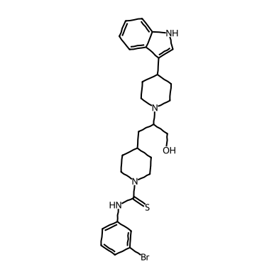 OCC(CC1CCN(C(=S)Nc2cccc(Br)c2)CC1)N1CCC(c2c[nH]c3ccccc23)CC1